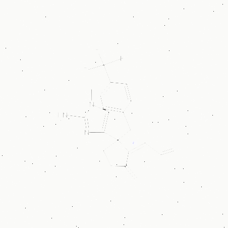 C=C/C=C1\C(=C)CCC1(Cc1ccc(C(F)(F)F)cc1)c1cn(C)c(N)n1